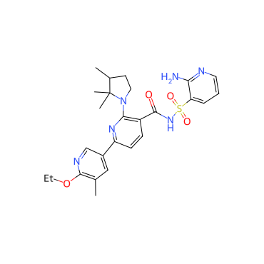 CCOc1ncc(-c2ccc(C(=O)NS(=O)(=O)c3cccnc3N)c(N3CCC(C)C3(C)C)n2)cc1C